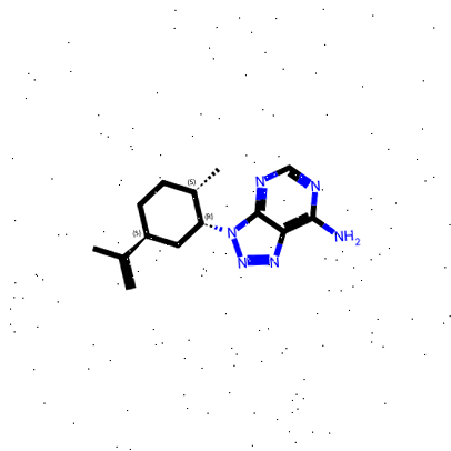 C=C(C)[C@H]1CC[C@H](C)[C@H](n2nnc3c(N)ncnc32)C1